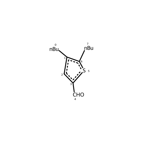 CCCCc1cc(C=O)sc1CCCC